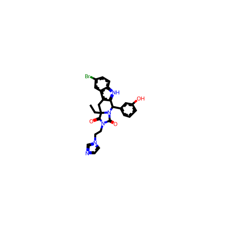 CCC12Cc3c([nH]c4ccc(Br)cc34)C(c3cccc(O)c3)N1C(=O)N(CCn1ccnc1)C2=O